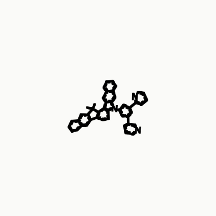 CC1(C)c2cc3ccccc3cc2-c2ccc3c(c21)c1cc2ccccc2cc1n3-c1cc(-c2cccnc2)cc(-c2ccccn2)c1